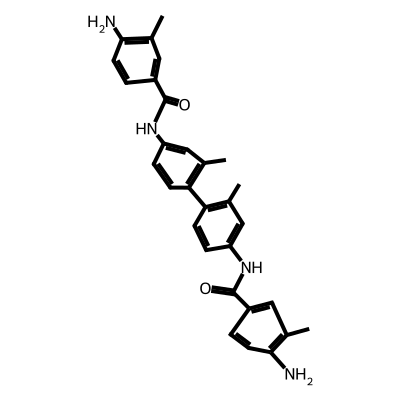 Cc1cc(C(=O)Nc2ccc(-c3ccc(NC(=O)c4ccc(N)c(C)c4)cc3C)c(C)c2)ccc1N